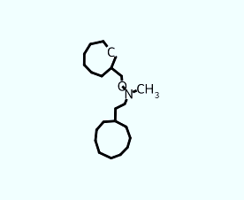 CN(CCC1CCCCCCCCC1)OCC1CCCCCCCC1